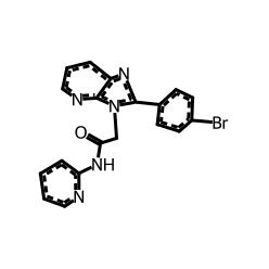 O=C(Cn1c(-c2ccc(Br)cc2)nc2cccnc21)Nc1ccccn1